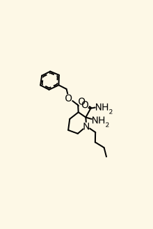 CCCCN1CCCC(C(=O)OCc2ccccc2)C1(N)C(N)=O